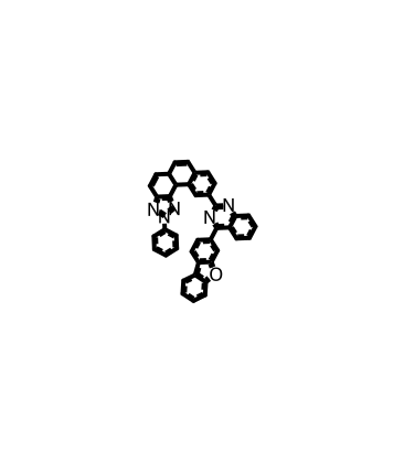 C1=CC2C=Cc3nn(-c4ccccc4)nc3C2c2cc(-c3nc(-c4ccc5c(c4)oc4ccccc45)c4ccccc4n3)ccc21